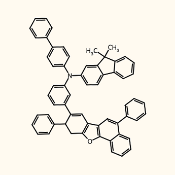 CC1(C)c2ccccc2-c2ccc(N(c3ccc(-c4ccccc4)cc3)c3cccc(C4=Cc5c(oc6c5cc(-c5ccccc5)c5ccccc56)CC4c4ccccc4)c3)cc21